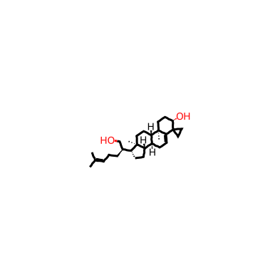 CC(C)=CCC[C@@H](CO)[C@H]1CC[C@H]2[C@@H]3CC=C4C5(CC5)[C@@H](O)CC[C@]4(C)[C@H]3CC[C@]12C